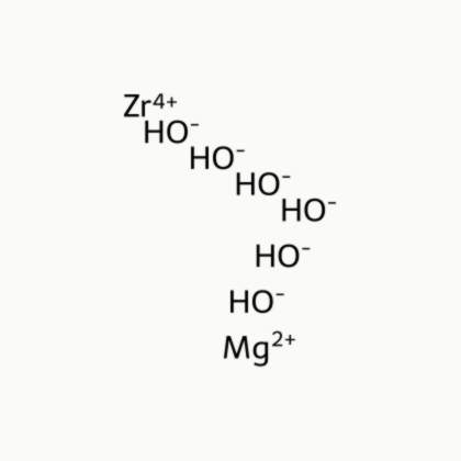 [Mg+2].[OH-].[OH-].[OH-].[OH-].[OH-].[OH-].[Zr+4]